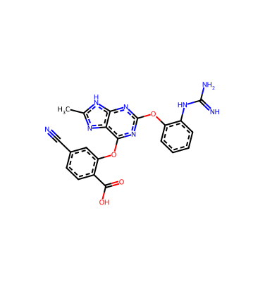 Cc1nc2c(Oc3cc(C#N)ccc3C(=O)O)nc(Oc3ccccc3NC(=N)N)nc2[nH]1